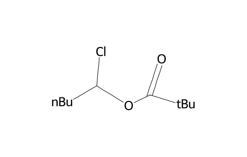 CCCCC(Cl)OC(=O)C(C)(C)C